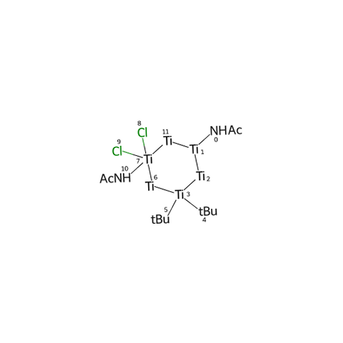 CC(=O)[NH][Ti]1[Ti][Ti]([C](C)(C)C)([C](C)(C)C)[Ti][Ti]([Cl])([Cl])([NH]C(C)=O)[Ti]1